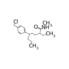 CCCC(CCC(CC)C(=O)NC)c1ccc(CCl)cc1